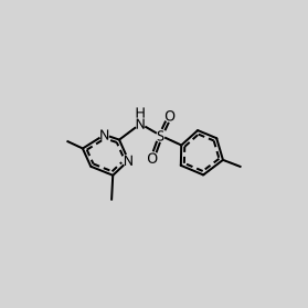 Cc1ccc(S(=O)(=O)Nc2nc(C)cc(C)n2)cc1